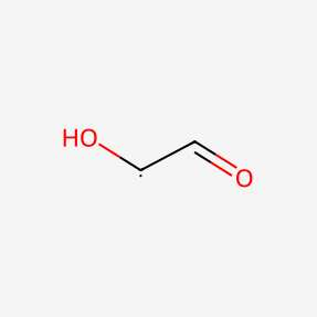 O=C[CH]O